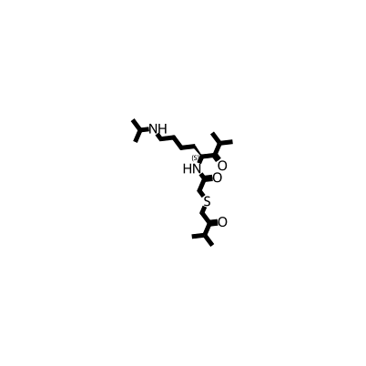 CC(C)NCCCC[C@H](NC(=O)CSCC(=O)C(C)C)C(=O)C(C)C